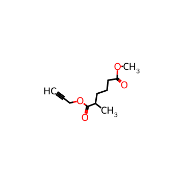 C#CCOC(=O)C(C)CCCC(=O)OC